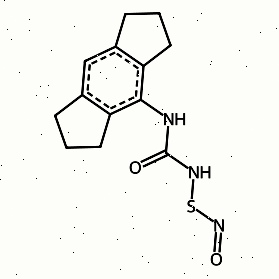 O=NSNC(=O)Nc1c2c(cc3c1CCC3)CCC2